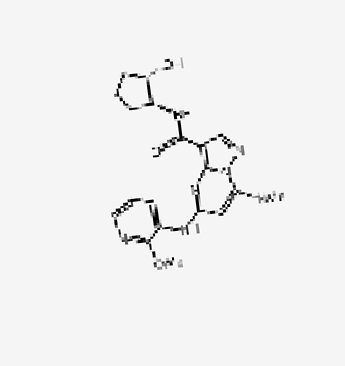 CNc1cc(Nc2cccnc2OC)nc2c(C(=O)N[C@H]3CCC[C@@H]3O)cnn12